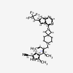 C=C/C(CN1CCC2(CC1)CN(c1ncnc3sc(CC(F)(F)F)cc13)C2)=C(/C)c1cc(C#N)[nH]c1C